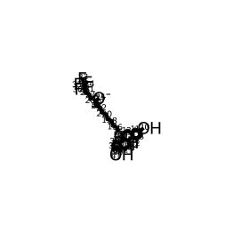 C[C@]12C[C@H](F)[C@@H]3c4ccc(O)cc4C[C@@H](CCCCCCCCC[S+]([O-])CCCC(F)(F)C(F)(F)F)[C@H]3[C@@H]1CC[C@@H]2O